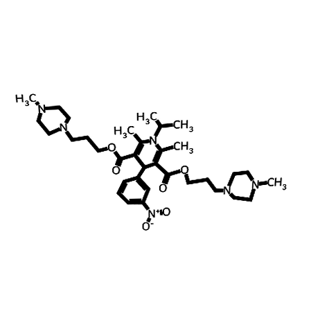 CC1=C(C(=O)OCCCN2CCN(C)CC2)C(c2cccc([N+](=O)[O-])c2)C(C(=O)OCCCN2CCN(C)CC2)=C(C)N1C(C)C